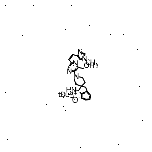 Cn1cnc(/C=C\c2cnc(N3CCC4(CC3)Cc3ccccc3[C@H]4N[S+]([O-])C(C)(C)C)c(CO)n2)c1